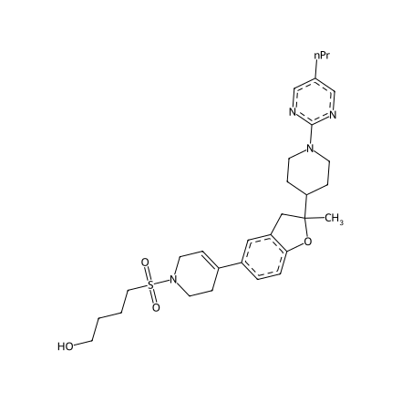 CCCc1cnc(N2CCC(C3(C)Cc4cc(C5=CCN(S(=O)(=O)CCCCO)CC5)ccc4O3)CC2)nc1